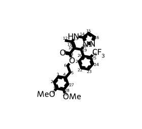 COc1ccc(CCOC(=O)C2=C(C)Nc3ccnn3C2c2ccccc2C(F)(F)F)cc1OC